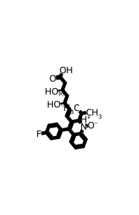 CC(C)C1C(C=C[C@@H](O)C[C@@H](O)CC(=O)O)=C(c2ccc(F)cc2)c2ccccc2[NH+]1[O-]